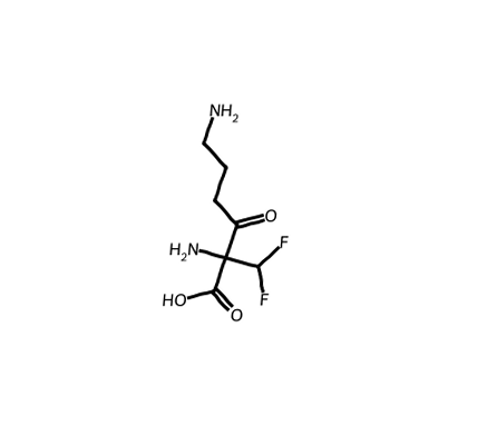 NCCCC(=O)C(N)(C(=O)O)C(F)F